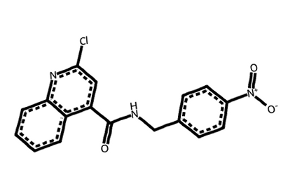 O=C(NCc1ccc([N+](=O)[O-])cc1)c1cc(Cl)nc2ccccc12